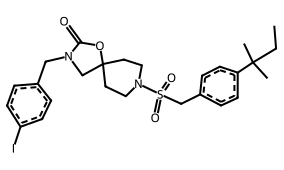 CCC(C)(C)c1ccc(CS(=O)(=O)N2CCC3(CC2)CN(Cc2ccc(I)cc2)C(=O)O3)cc1